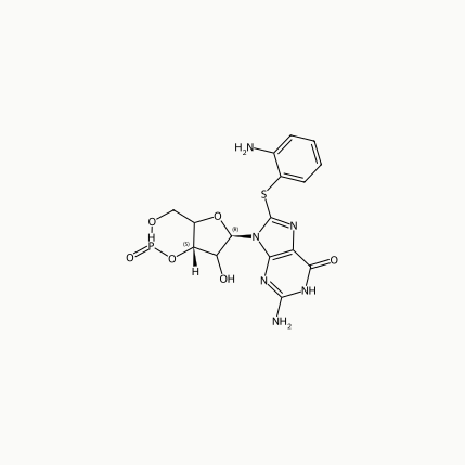 Nc1nc2c(nc(Sc3ccccc3N)n2[C@@H]2OC3CO[PH](=O)O[C@H]3C2O)c(=O)[nH]1